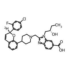 [2H][C@]1(c2ccc(Cl)cc2F)C=Cc2cccc(C3CCN(Cc4nc5ccc(C(=O)O)cc5n4C[C@@H](O)CC)CC3)c2O1